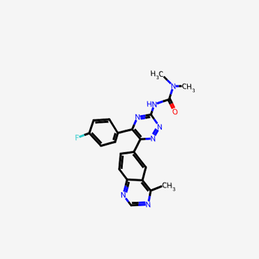 Cc1ncnc2ccc(-c3nnc(NC(=O)N(C)C)nc3-c3ccc(F)cc3)cc12